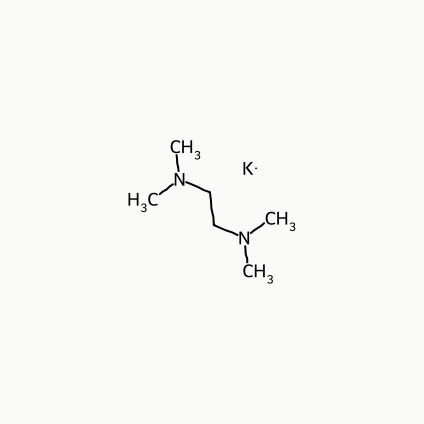 CN(C)CCN(C)C.[K]